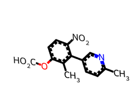 Cc1ccc(-c2c([N+](=O)[O-])ccc(OC(=O)O)c2C)cn1